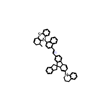 CC1CC=CC2=C1N(c1ccc(/C=C/c3ccc4c(c3)C3(Cc5ccccc5C3)C3C=C(N5CCCc6ccccc65)C=CC43)c3ccccc13)c1ccccc1S2